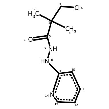 CC(C)(CCl)C(=O)NNc1ccccn1